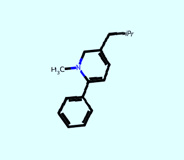 CC(C)CC1=CC=C(c2ccccc2)N(C)C1